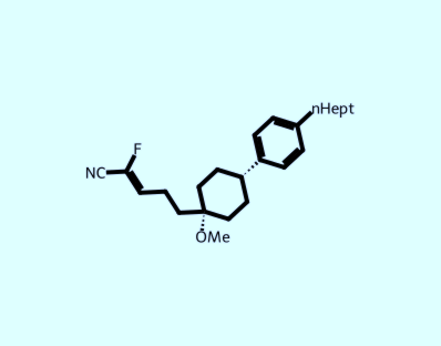 CCCCCCCc1ccc([C@H]2CC[C@@](CCC=C(F)C#N)(OC)CC2)cc1